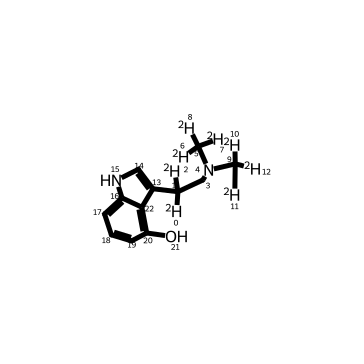 [2H]C([2H])(CN(C([2H])([2H])[2H])C([2H])([2H])[2H])c1c[nH]c2cccc(O)c12